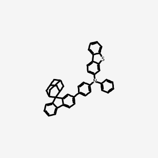 c1ccc(N(c2ccc(-c3ccc4c(c3)C3(c5ccccc5-4)C4CC5CC(C4)CC3C5)cc2)c2ccc3c(c2)sc2ccccc23)cc1